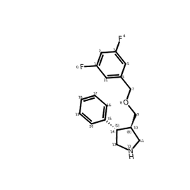 Fc1cc(F)cc(COC[C@H]2CNC[C@@H]2c2ccccc2)c1